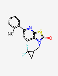 N#Cc1ccccc1-c1ccc2c(n1)sc(=O)n2CC1CC1(F)F